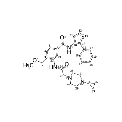 COCc1ccc(C(=O)Nc2ccsc2-c2ccccc2)cc1NC(=O)CN1CCN(C2CC2)CC1